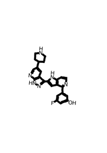 Oc1cc(F)cc(-c2nccc3[nH]c(-c4n[nH]c5ncc(C6CCNCC6)cc45)cc23)c1